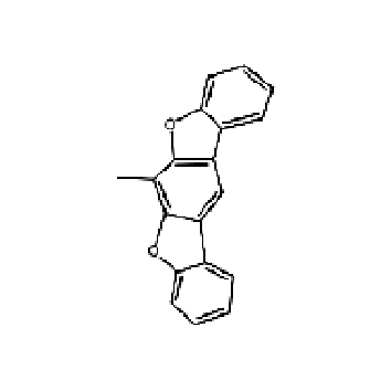 Cc1c2oc3ccccc3c2cc2c1oc1ccccc12